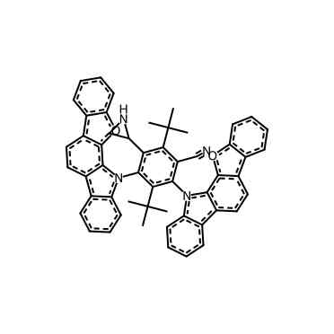 CC(C)(C)c1c(C#N)c(-n2c3ccccc3c3ccc4c5ccccc5oc4c32)c(C(C)(C)C)c(-n2c3ccccc3c3ccc4c5ccccc5oc4c32)c1C1CN1